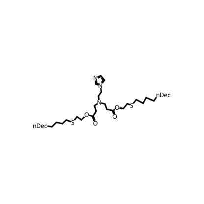 CCCCCCCCCCCCCCSCCOC(=O)CCN(CCC(=O)OCCSCCCCCCCCCCCCCC)CCn1ccnc1